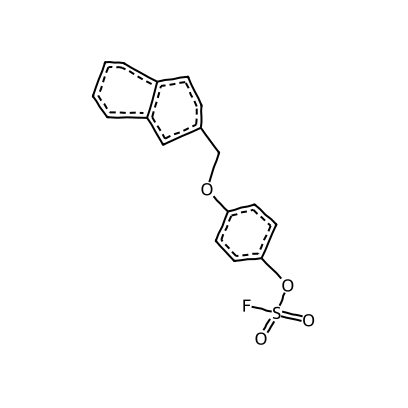 O=S(=O)(F)Oc1ccc(OCc2ccc3ccccc3c2)cc1